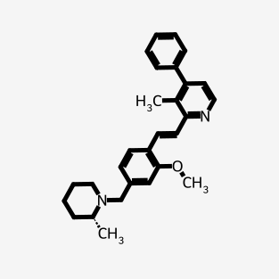 COc1cc(CN2CCCC[C@H]2C)ccc1/C=C/c1nccc(-c2ccccc2)c1C